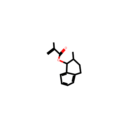 C=C(C)C(=O)OC1c2ccccc2CCC1C